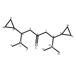 CN(C)C(CC(=O)CC(C1CC1)N(C)C)C1CC1